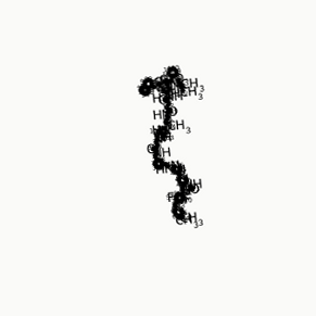 CN[C@@H](C)C(=O)N[C@H](C(=O)N1C[C@@H](NC(=O)CCC(=O)NCCN(C)[C@@H]2C[C@@H]3CN(CCC(=O)NCc4cccc(CNc5cc(N6CCC7(CC6)CN(c6cc(F)c(CN8CCC(C)(C)CC8)cc6F)CC(=O)N7)ncn5)c4)C[C@@H]3C2)C[C@H]1C(=O)NC1CCCc2ccccc21)C1CCCCC1